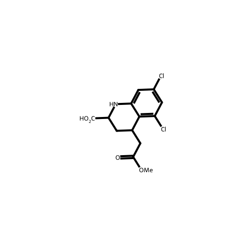 COC(=O)CC1CC(C(=O)O)Nc2cc(Cl)cc(Cl)c21